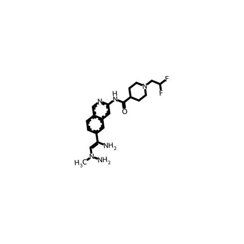 CN(N)/C=C(\N)c1ccc2cnc(NC(=O)C3CCN(CC(F)F)CC3)cc2c1